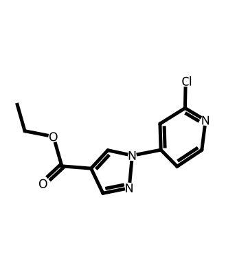 CCOC(=O)c1cnn(-c2ccnc(Cl)c2)c1